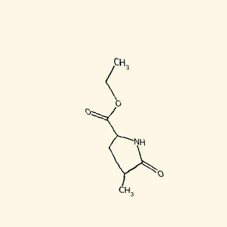 CCOC(=O)C1CC(C)C(=O)N1